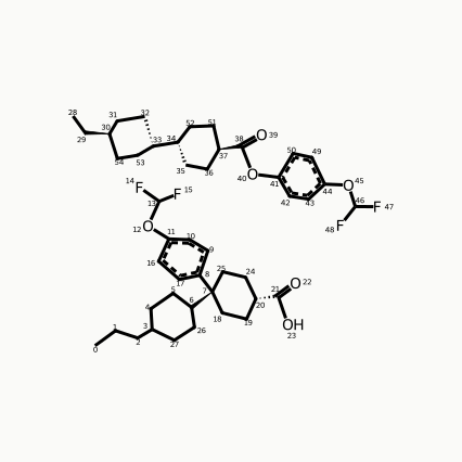 CCCC1CCC([C@]2(c3ccc(OC(F)F)cc3)CC[C@@H](C(=O)O)CC2)CC1.CC[C@H]1CC[C@H]([C@H]2CC[C@H](C(=O)Oc3ccc(OC(F)F)cc3)CC2)CC1